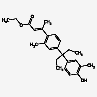 CCOC(=O)C=C(C)c1ccc(C(CC)(CC)c2ccc(O)c(C)c2)cc1C